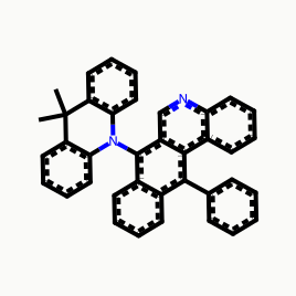 CC1(C)c2ccccc2N(c2c3ccccc3c(-c3ccccc3)c3c2cnc2ccccc23)c2ccccc21